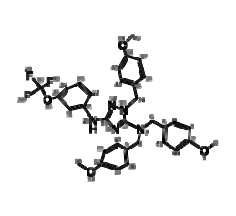 COc1ccc(CN(Cc2ccc(OC)cc2)c2nc(Nc3cccc(OC(F)(F)F)c3)nn2Cc2ccc(OC)cc2)cc1